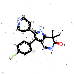 CC1(C)C(=O)N=Cc2c1[nH]c(-c1ccncc1)c2-c1ccc(F)cc1